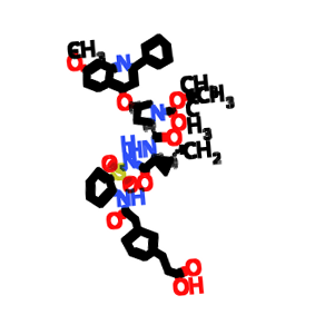 C=C[C@@H]1C[C@]1(NC(=O)[C@@H]1C[C@@H](Oc2cc(-c3ccccc3)nc3cc(OC)ccc23)CN1C(=O)OC(C)(C)C)C(=O)NS(=O)(=O)c1ccccc1NC(=O)Cc1cccc(CCC(=O)O)c1